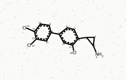 NC1CC1c1ccc(-c2ccc(Cl)c(Cl)c2)cc1Cl